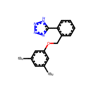 CC(C)(C)c1cc(OCc2ccccc2-c2nnn[nH]2)cc(C(C)(C)C)c1